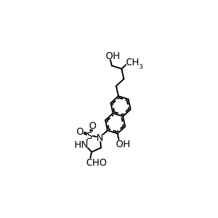 CC(CO)CCc1ccc2cc(O)c(N3CC(C=O)NS3(=O)=O)cc2c1